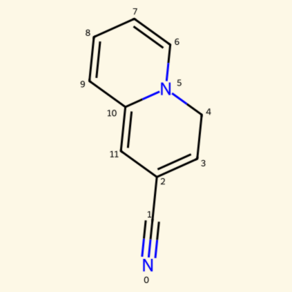 N#CC1=CCN2C=CC=CC2=C1